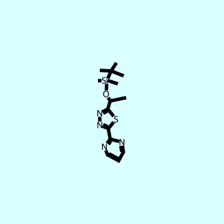 CC(O[Si](C)(C)C(C)(C)C)c1nnc(-c2ncccn2)s1